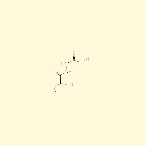 CC(C)CC(N)C(=O)NNC(=O)OC(C)(C)C